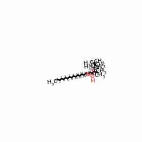 CCCCCCCCCCCCCCCCOCC(O)C(O[SiH2]C(C)(C)C(C)C)C(C)C